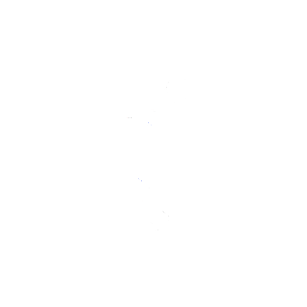 CCOC(=O)C(CCCCNC(=O)Oc1ccccc1)NC(=O)Oc1ccccc1